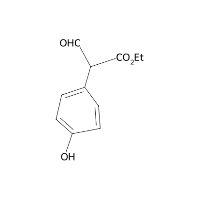 CCOC(=O)C(C=O)c1ccc(O)cc1